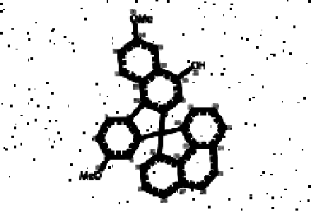 COc1ccc2c(c1)C1(c3cc(O)c4cc(OC)ccc4c3-2)c2cccc3ccc4cccc1c4c23